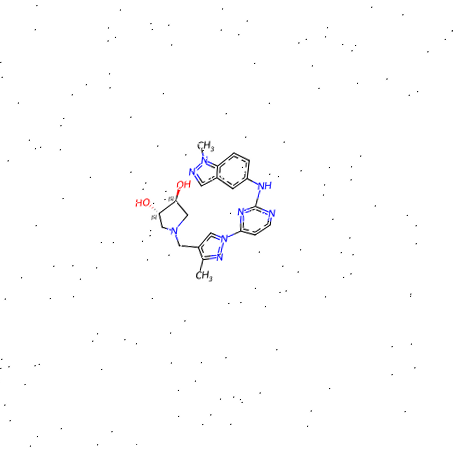 Cc1nn(-c2ccnc(Nc3ccc4c(cnn4C)c3)n2)cc1CN1C[C@H](O)[C@@H](O)C1